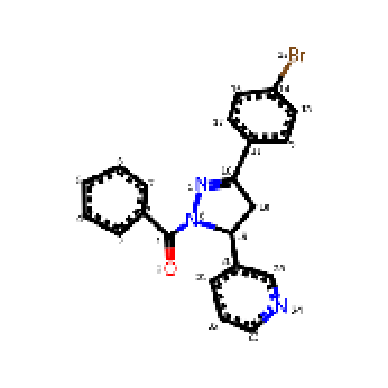 O=C(c1ccccc1)N1N=C(c2ccc(Br)cc2)CC1c1cccnc1